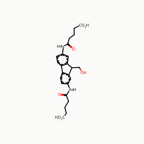 O=C(O)CCCC(=O)[AsH]c1ccc2c(c1)C(CO)c1cc([AsH]C(=O)CCCC(=O)O)ccc1-2